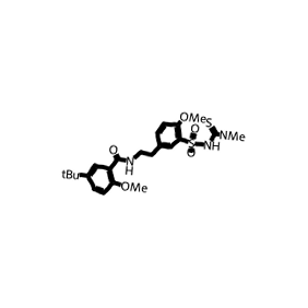 CNC(=S)NS(=O)(=O)c1cc(CCNC(=O)c2cc(C(C)(C)C)ccc2OC)ccc1OC